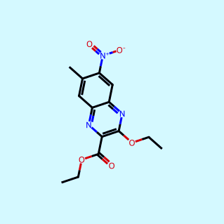 CCOC(=O)c1nc2cc(C)c([N+](=O)[O-])cc2nc1OCC